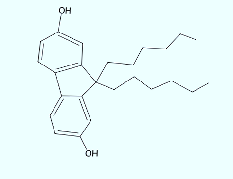 CCCCCCC1(CCCCCC)c2cc(O)ccc2-c2ccc(O)cc21